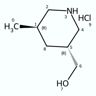 C[C@H]1CNC[C@H](CO)C1.Cl